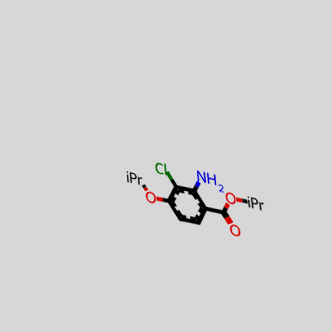 CC(C)OC(=O)c1ccc(OC(C)C)c(Cl)c1N